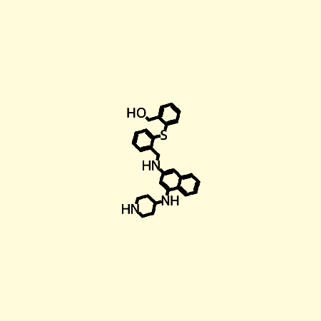 OCc1ccccc1Sc1ccccc1CNc1cc(NC2CCNCC2)c2ccccc2c1